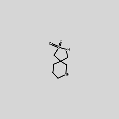 O=S1(=O)CC2(CCCNC2)CN1